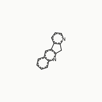 c1cnc2c(c1)-c1cc3ccccc3nc1C2